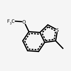 Cc1scc2c(OC(F)(F)F)cccc12